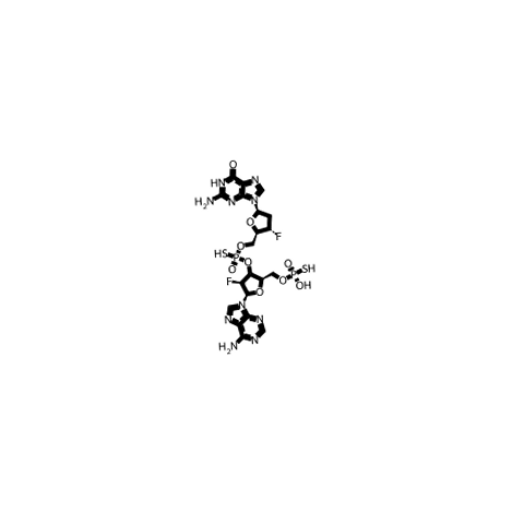 Nc1nc2c(ncn2[C@H]2C[C@H](F)[C@@H](COP(=O)(S)OC3[C@@H](COP(=O)(O)S)O[C@@H](n4cnc5c(N)ncnc54)[C@H]3F)O2)c(=O)[nH]1